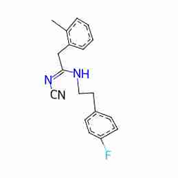 Cc1ccccc1CC(=NC#N)NCCc1ccc(F)cc1